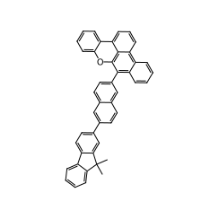 CC1(C)c2ccccc2-c2ccc(-c3ccc4cc(-c5c6c7c(cccc7c7ccccc57)-c5ccccc5O6)ccc4c3)cc21